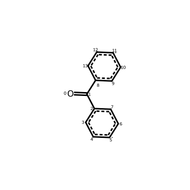 O=C(c1cc[c]cc1)c1cc[c]cc1